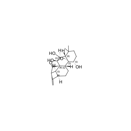 C=C1C2C(=O)[C@]34[C@H]2[C@H]1CC[C@H]3[C@@]12CO[C@]4(O)[C@@H](O)[C@@H]1C(C)(C)CC[C@@H]2O